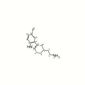 NCCC1CCc2[nH]c3ccc(F)cc3c2C1